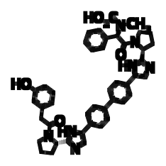 CN(C(=O)O)[C@@H](C(=O)N1CCC[C@H]1c1ncc(-c2ccc(-c3ccc(-c4cnc([C@@H]5CCCN5C(=O)Cc5cccc(O)c5)[nH]4)cc3)cc2)[nH]1)c1ccccc1